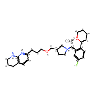 O=C(O)[C@@H](c1cc(F)ccc1C1CCCCO1)N1CC[C@@H](COCCCc2ccc3c(n2)NCCC3)C1